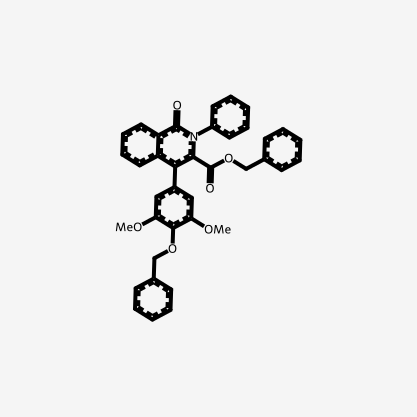 COc1cc(-c2c(C(=O)OCc3ccccc3)n(-c3ccccc3)c(=O)c3ccccc23)cc(OC)c1OCc1ccccc1